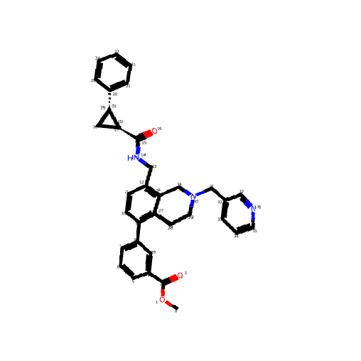 COC(=O)c1cccc(-c2ccc(CNC(=O)[C@H]3C[C@@H]3c3ccccc3)c3c2CCN(Cc2cccnc2)C3)c1